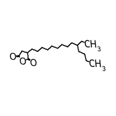 CCCCC(CC)CCCCCCCCCC1CC(=O)OC1=O